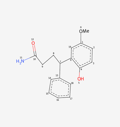 COc1ccc(O)c(C(CCC(N)=O)c2ccccc2)c1